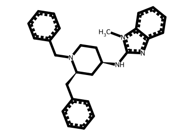 Cn1c(N[C@@H]2CCN(Cc3ccccc3)[C@H](Cc3ccccc3)C2)nc2ccccc21